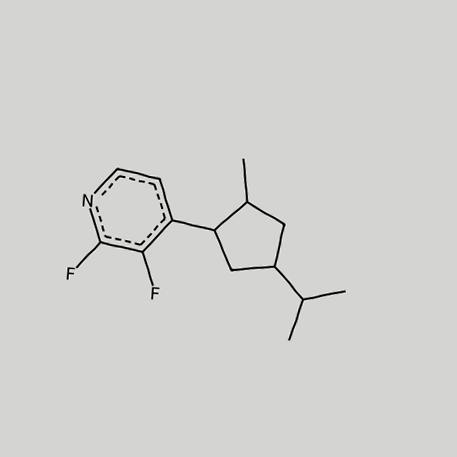 CC(C)C1CC(C)C(c2ccnc(F)c2F)C1